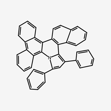 c1ccc(-c2cc(-c3ccccc3)n3c2c2c4ccccc4ccc2c2c4ccccc4c4ccccc4c23)cc1